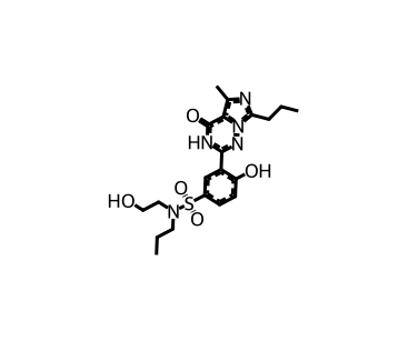 CCCc1nc(C)c2c(=O)[nH]c(-c3cc(S(=O)(=O)N(CCC)CCO)ccc3O)nn12